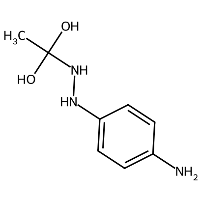 CC(O)(O)NNc1ccc(N)cc1